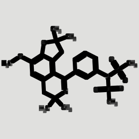 COc1cc2c(c3c1OC(C)(C)C3)C(c1cccc(N(S(C)(=O)=O)S(C)(=O)=O)c1)=NC(C)(C)C2